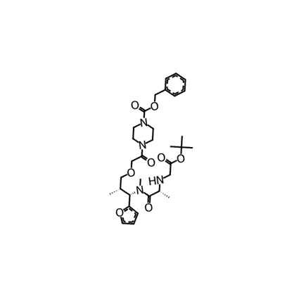 C[C@H](COCC(=O)N1CCN(C(=O)OCc2ccccc2)CC1)[C@@H](c1ccco1)N(C)C(=O)[C@@H](C)NCC(=O)OC(C)(C)C